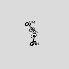 O=C(CCc1c[nH]c2ccccc12)O[C@H]1CC[C@H](OC(=O)CCc2c[nH]c3ccccc23)OC1